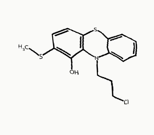 CSc1ccc2c(c1O)N(CCCCl)c1ccccc1S2